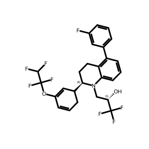 O[C@@H](CN1c2cccc(-c3cccc(F)c3)c2CC[C@@H]1C1C=C(OC(F)(F)C(F)F)C=CC1)C(F)(F)F